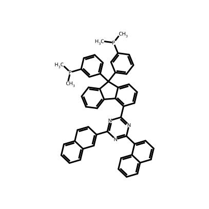 CP(C)c1cccc(C2(c3cccc(P(C)C)c3)c3ccccc3-c3c(-c4nc(-c5ccc6ccccc6c5)nc(-c5cccc6ccccc56)n4)cccc32)c1